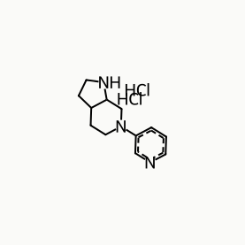 Cl.Cl.c1cncc(N2CCC3CCNC3C2)c1